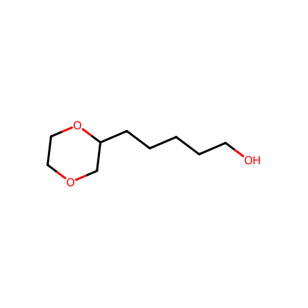 OCCCCCC1COCCO1